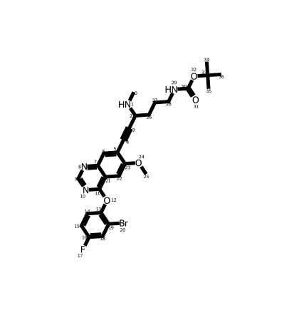 CNC(C#Cc1cc2ncnc(Oc3ccc(F)cc3Br)c2cc1OC)CCCNC(=O)OC(C)(C)C